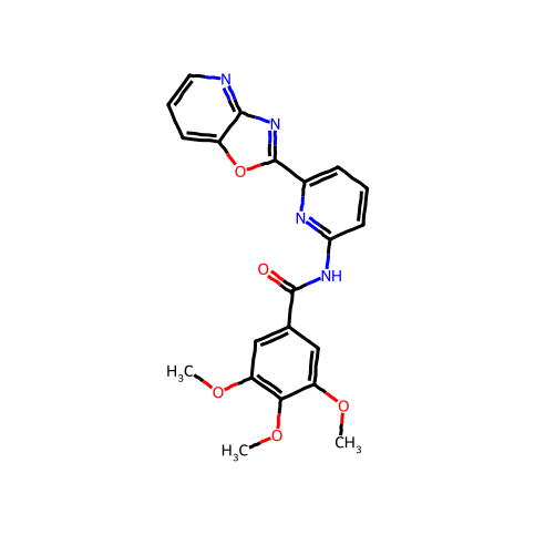 COc1cc(C(=O)Nc2cccc(-c3nc4ncccc4o3)n2)cc(OC)c1OC